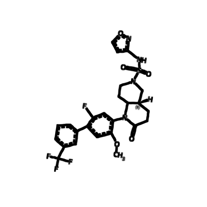 COc1cc(-c2cccc(C(F)(F)F)c2)c(F)cc1N1C(=O)CC[C@H]2CN(S(=O)(=O)Nc3ccon3)CCC21